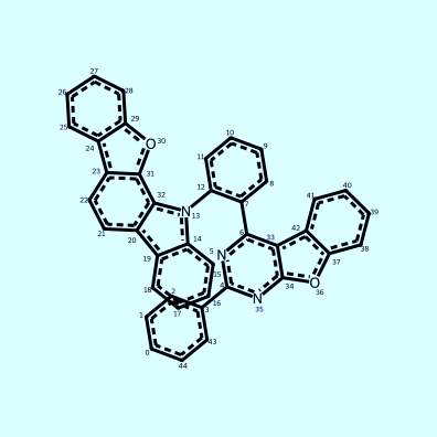 c1ccc(-c2nc(-c3ccccc3-n3c4ccccc4c4ccc5c6ccccc6oc5c43)c3c(n2)oc2ccccc23)cc1